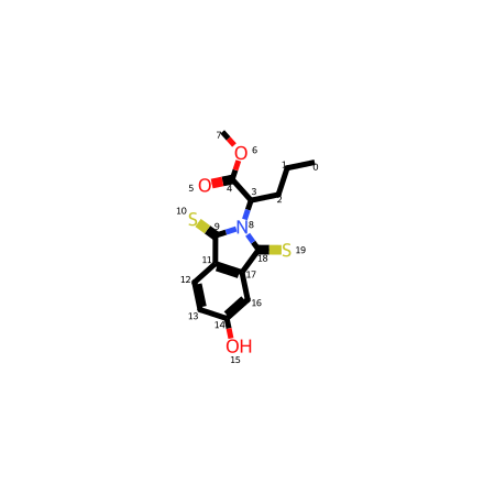 CCCC(C(=O)OC)N1C(=S)c2ccc(O)cc2C1=S